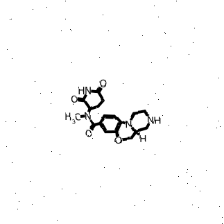 CN(C(=O)c1ccc2c(c1)OC[C@H]1CNCCN21)C1CCC(=O)NC1=O